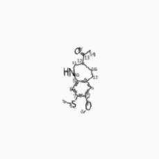 COc1cc2c(cc1SC)NCC(C(C)=O)CC2